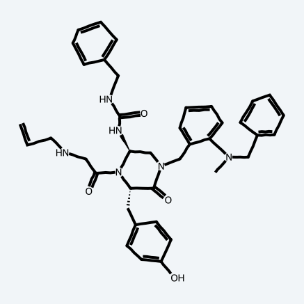 C=CCNCC(=O)N1[C@@H](NC(=O)NCc2ccccc2)CN(Cc2ccccc2N(C)Cc2ccccc2)C(=O)[C@@H]1Cc1ccc(O)cc1